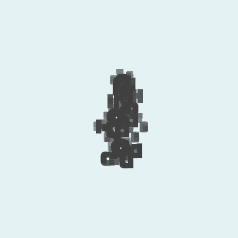 O=C(NNc1ncccn1)c1ccc(/C(F)=C\C(c2cc(Cl)c(Cl)c(Cl)c2)C(F)(F)F)cc1C(F)(F)F